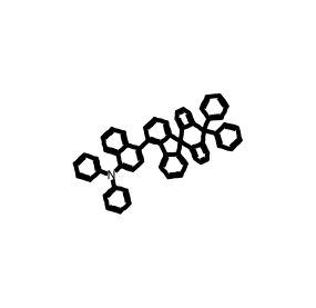 c1ccc(N(c2ccccc2)c2ccc(-c3cccc4c3-c3ccccc3C43c4ccccc4C(c4ccccc4)(c4ccccc4)c4ccccc43)c3ccccc23)cc1